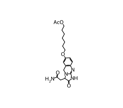 CC(=O)OCCCCCCCOc1ccc2c(c1)CN1C(=N2)NC(=O)C1CC(N)=O